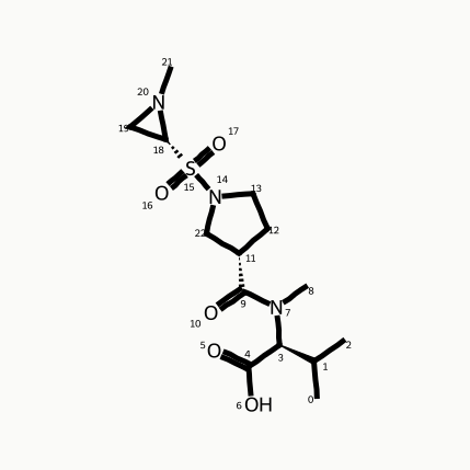 CC(C)[C@@H](C(=O)O)N(C)C(=O)[C@H]1CCN(S(=O)(=O)[C@@H]2CN2C)C1